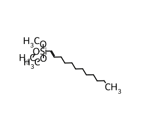 CCCCCCCCCC/C=C/[Si](OC)(OC)OC